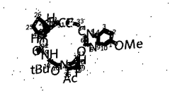 COc1ccc2nc3c(nc2c1)O[C@H]1CN(C(=O)[C@H](C(C)(C)C)NC(=O)O[C@@H]2[C@H]4CC[C@H](C4)[C@H]2CCCCC3)[C@H](C(C)=O)C1(F)F